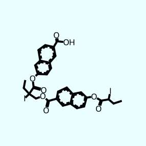 CCC(I)C(=O)Oc1ccc2cc(C(=O)OCC(I)(CC)C(=O)Oc3ccc4cc(C(=O)O)ccc4c3)ccc2c1